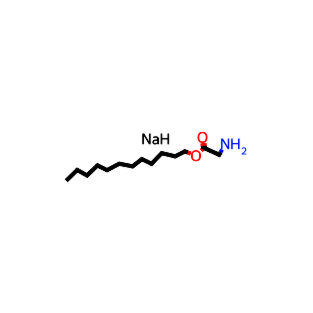 CCCCCCCCCCCCOC(=O)CN.[NaH]